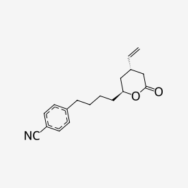 C=C[C@@H]1CC(=O)O[C@@H](CCCCc2ccc(C#N)cc2)C1